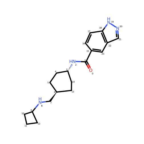 O=C(N[C@H]1CC[C@H](CNC2CCC2)CC1)c1ccc2[nH]ncc2c1